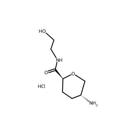 Cl.N[C@@H]1CC[C@@H](C(=O)NCCO)OC1